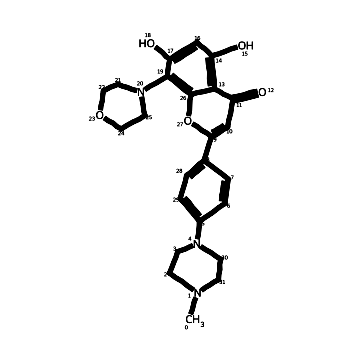 CN1CCN(c2ccc(-c3cc(=O)c4c(O)cc(O)c(N5CCOCC5)c4o3)cc2)CC1